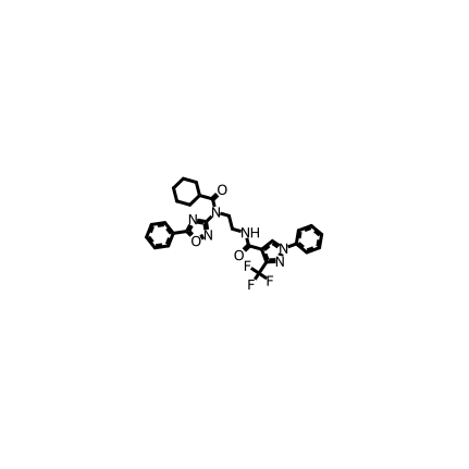 O=C(NCCN(C(=O)C1CCCCC1)c1noc(-c2ccccc2)n1)c1cn(-c2ccccc2)nc1C(F)(F)F